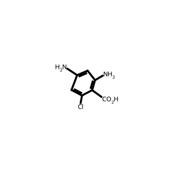 Nc1cc(N)c(C(=O)O)c(Cl)c1